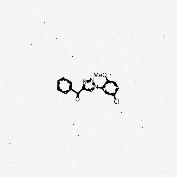 COc1ccc(Cl)cc1-n1cc(C(=O)c2ccccc2)nn1